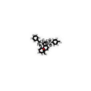 CCc1ccc(NS(=O)(=O)c2ccc(C)cc2)c(C2(C(F)(F)F)OC(c3ccccc3)=NN2c2ccccc2)c1